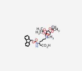 CN(CCCC[C@@H](CC(=O)O)NC(=O)OCC1c2ccccc2-c2ccccc21)CC12OCC3OC(C)(C)OC3C1OC(C)(C)O2